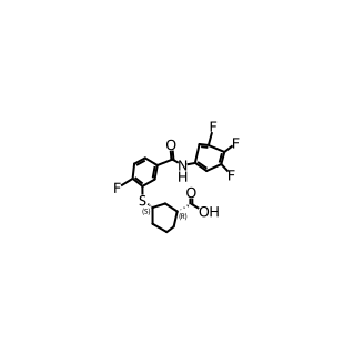 O=C(Nc1cc(F)c(F)c(F)c1)c1ccc(F)c(S[C@H]2CCC[C@@H](C(=O)O)C2)c1